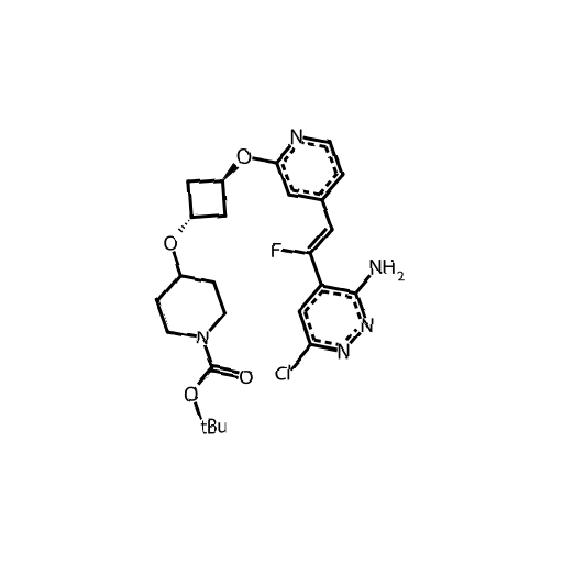 CC(C)(C)OC(=O)N1CCC(O[C@H]2C[C@H](Oc3cc(C=C(F)c4cc(Cl)nnc4N)ccn3)C2)CC1